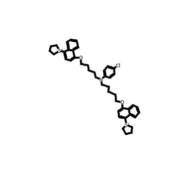 Clc1ccc(N(CCCCCOc2ccc([S+]3CCCC3)c3ccccc23)CCCCCOc2ccc([S+]3CCCC3)c3ccccc23)cc1